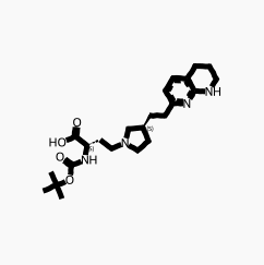 CC(C)(C)OC(=O)N[C@@H](CCN1CC[C@H](CCc2ccc3c(n2)NCCC3)C1)C(=O)O